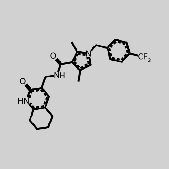 Cc1cn(Cc2ccc(C(F)(F)F)cc2)c(C)c1C(=O)NCc1cc2c([nH]c1=O)CCCC2